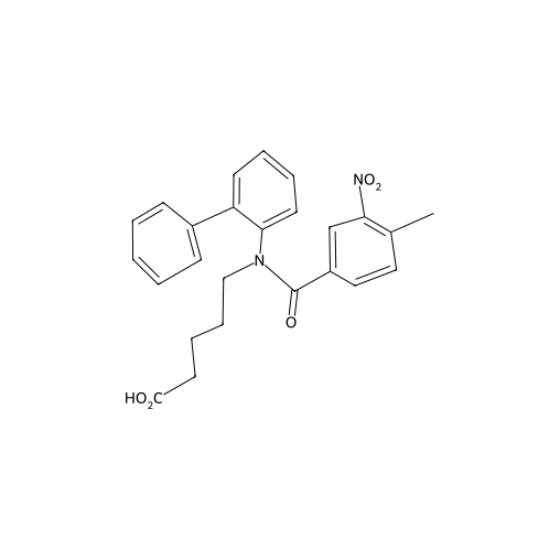 Cc1ccc(C(=O)N(CCCCC(=O)O)c2ccccc2-c2ccccc2)cc1[N+](=O)[O-]